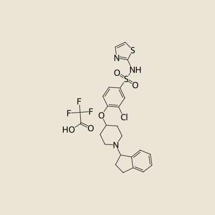 O=C(O)C(F)(F)F.O=S(=O)(Nc1nccs1)c1ccc(OC2CCN(C3CCc4ccccc43)CC2)c(Cl)c1